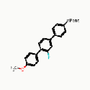 CCCCCc1ccc(-c2ccc(-c3ccc(OC(F)(F)F)cc3)c(F)c2)cc1